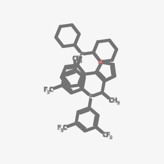 CC(C1=C(c2ccccc2P(C2CCCCC2)C2CCCCC2)CC=C1)P(c1cc(C(F)(F)F)cc(C(F)(F)F)c1)c1cc(C(F)(F)F)cc(C(F)(F)F)c1